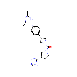 Cc1nc(C)n(-c2ccc(C3CN(C(=O)N4CC[C@H](c5ncn[nH]5)C4)C3)cc2)n1